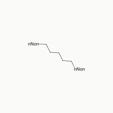 [CH2]CC[CH]CCCCCCCCCCCCCCCCCCC